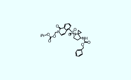 CC(C)OC(=O)OCn1ccc2c(S(=O)(=O)N3CCC(NC(=O)OCc4ccccc4)C34CC4)cccc2c1=O